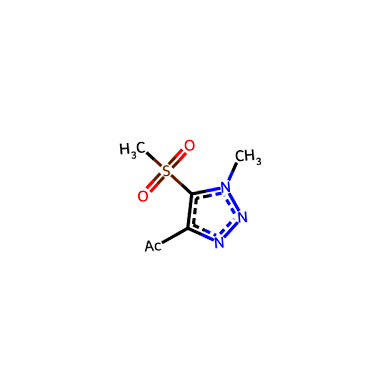 CC(=O)c1nnn(C)c1S(C)(=O)=O